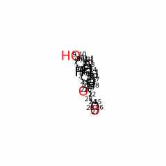 C[C@]12CC[C@@H]3[C@H]4CC[C@]5(O)CC5[C@H]4CC[C@H]3[C@@H]1CC[C@@H]2C(=O)CCc1ccoc1